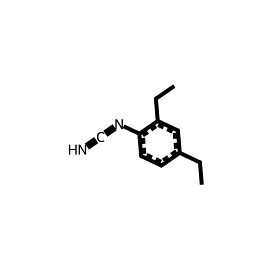 CCc1ccc(N=C=N)c(CC)c1